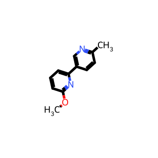 COc1cccc(-c2ccc(C)nc2)n1